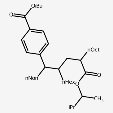 CCCCCCCCCC(c1ccc(C(=O)OCC(C)C)cc1)C(CCCCCC)CC(CCCCCCCC)C(=O)OC(C)C(C)C